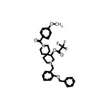 COc1ccc(C(=O)N2CCC3(CCN(Cc4ccccc4OCc4ccccc4)CC3OC(=O)C(F)(F)F)CC2)cc1